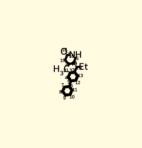 CCC(c1ccc(-c2ccccc2)cc1)[C@H]1CNC(=O)CC1C